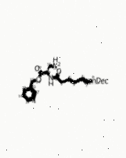 CCCCCCCCCCCCCCCC(=O)N[C@H](CN)C(=O)OCc1ccccc1